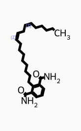 CCCCC/C=C\C/C=C\CCCCCCCCc1c(C(N)=O)cccc1C(N)=O